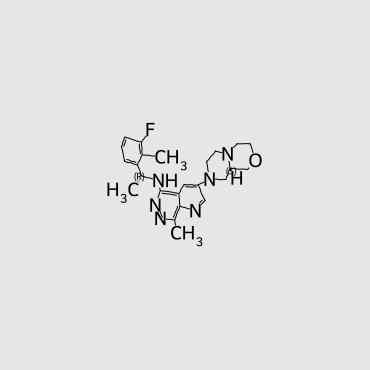 Cc1c(F)cccc1[C@@H](C)Nc1nnc(C)c2ncc(N3CCN4CCOC[C@@H]4C3)cc12